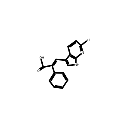 O=C(O)/C(=C/c1c[nH]c2nc(Cl)ccc12)c1ccccc1